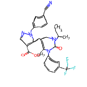 CC1=C(c2c(C(=O)O)cnn2-c2ccc(C#N)cc2)CN(C(C)C)C(=O)N1c1cccc(C(F)(F)F)c1